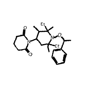 CCC1(C)CC(N2C(=O)CCCC2=O)C(C)C(C)(CC)N1OC(C)c1ccccc1